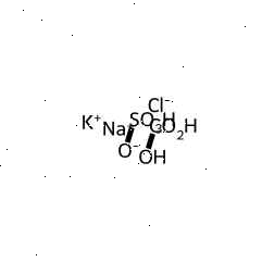 O=C(O)O.O=S(=O)([O-])O.[Cl-].[K+].[Na+]